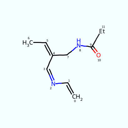 C=C/N=C\C(=C/C)CNC(=O)CC